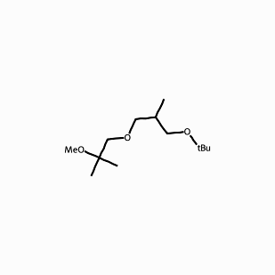 COC(C)(C)COCC(C)COC(C)(C)C